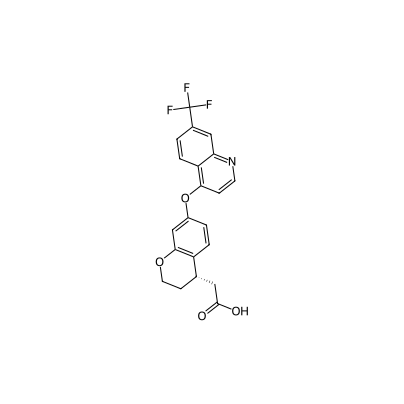 O=C(O)C[C@@H]1CCOc2cc(Oc3ccnc4cc(C(F)(F)F)ccc34)ccc21